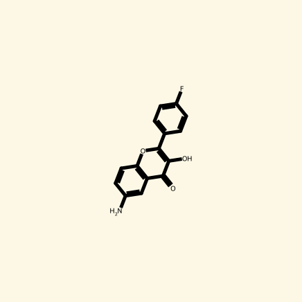 Nc1ccc2oc(-c3ccc(F)cc3)c(O)c(=O)c2c1